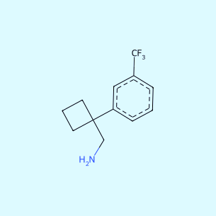 NCC1(c2cccc(C(F)(F)F)c2)CCC1